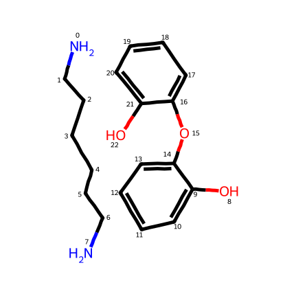 NCCCCCCN.Oc1ccccc1Oc1ccccc1O